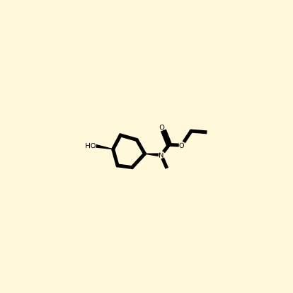 CCOC(=O)N(C)[C@H]1CC[C@@H](O)CC1